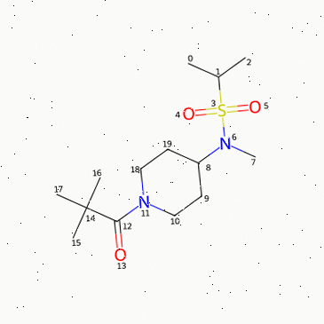 CC(C)S(=O)(=O)N(C)C1CCN(C(=O)C(C)(C)C)CC1